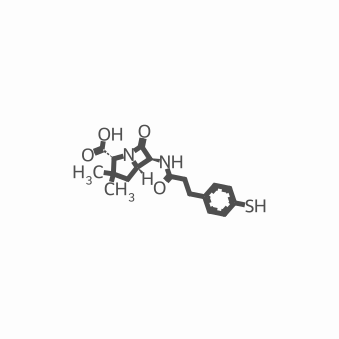 CC1(C)C[C@@H]2[C@H](NC(=O)CCc3ccc(S)cc3)C(=O)N2[C@H]1C(=O)O